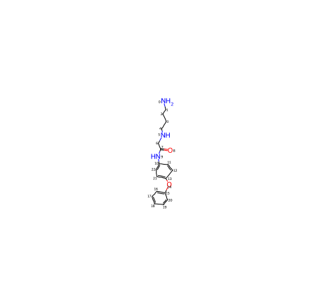 NCCCCNCC(=O)Nc1ccc(Oc2ccccc2)cc1